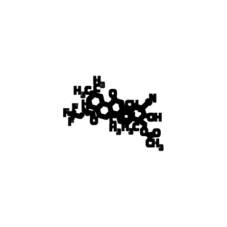 CC(=O)OC[C@]1(C)C(O)C(C#N)=C[C@]2(C)C3=CC(=O)C4C5CC(C)(C)CC[C@]5(C(=O)NCC(F)(F)F)CC[C@@]4(C)[C@]3(C)CCC12